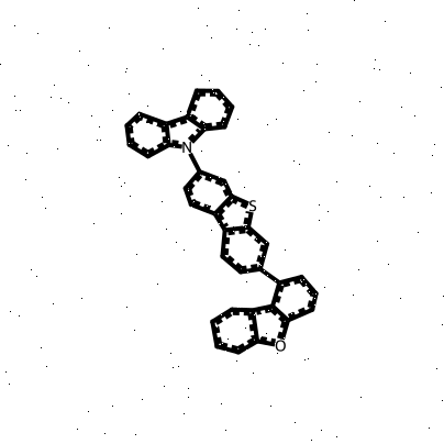 c1ccc2c(c1)oc1cccc(-c3ccc4c(c3)sc3cc(-n5c6ccccc6c6ccccc65)ccc34)c12